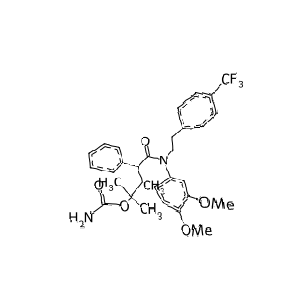 COc1ccc(N(CCc2ccc(C(F)(F)F)cc2)C(=O)C(c2ccccc2)C(C)C(C)(C)OC(N)=O)cc1OC